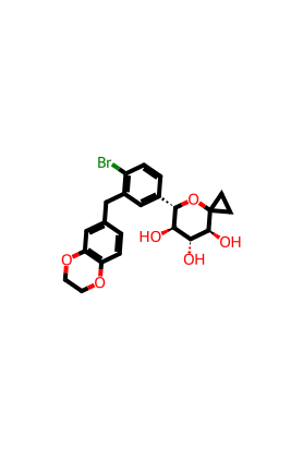 O[C@@H]1[C@@H](O)[C@H](O)C2(CC2)O[C@H]1c1ccc(Br)c(Cc2ccc3c(c2)OCCO3)c1